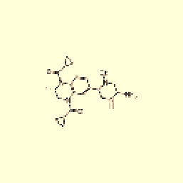 CCN1CC(N)NCC1c1ccc2c(c1)N(C(=O)C1CC1)C[C@H](C)N2C(=O)C1CC1